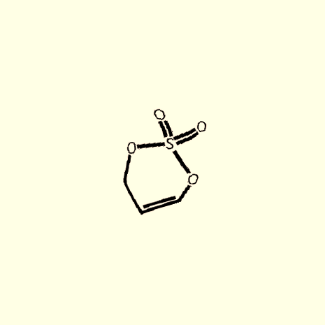 O=S1(=O)OC=CCO1